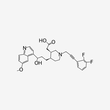 COc1ccc2nccc(C(O)CC[C@@H]3CCN(CC#Cc4cccc(F)c4F)C[C@@H]3CC(=O)O)c2c1